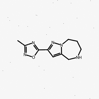 Cc1noc(-c2cc3n(n2)CCCNC3)n1